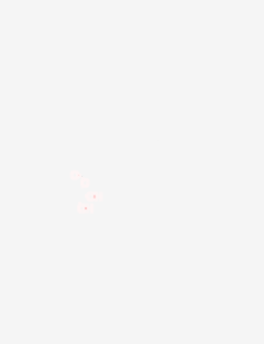 O=C(O)CCCCCCCCCCCCCCC(=O)OCC(O)CO